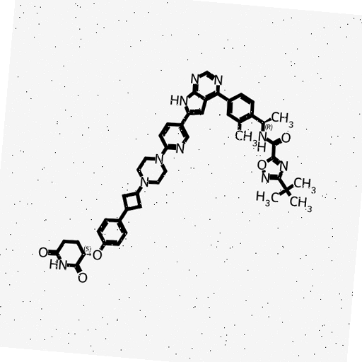 Cc1cc(-c2ncnc3[nH]c(-c4ccc(N5CCN(C6CC(c7ccc(O[C@H]8CCC(=O)NC8=O)cc7)C6)CC5)nc4)cc23)ccc1[C@@H](C)NC(=O)c1nc(C(C)(C)C)no1